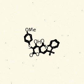 COc1ccc(Sc2c(O)c3c(=O)n4c(cc3oc2=O)C(C)(C)c2ccccc2-4)cc1